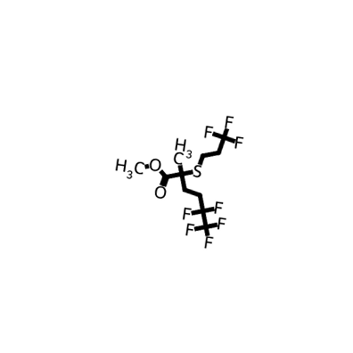 COC(=O)C(C)(CCC(F)(F)C(F)(F)F)SCCC(F)(F)F